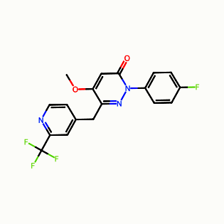 COc1cc(=O)n(-c2ccc(F)cc2)nc1Cc1ccnc(C(F)(F)F)c1